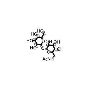 CC(=O)NCC1O[C@H](O[C@H]2OC(CO)[C@@H](O)C(O)C2O)C(O)C(O)[C@@H]1O